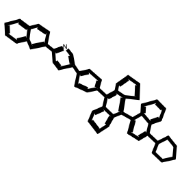 c1ccc2cc(-c3ccc(-c4ccc(-c5c6ccccc6c(-c6ccc(C7CCCCC7)c7ccccc67)c6ccccc56)cc4)cn3)ccc2c1